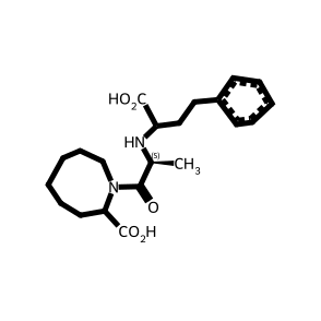 C[C@H](NC(CCc1ccccc1)C(=O)O)C(=O)N1CCCCCCC1C(=O)O